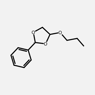 CCCOC1CO[C](c2ccccc2)O1